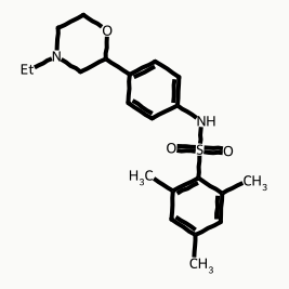 CCN1CCOC(c2ccc(NS(=O)(=O)c3c(C)cc(C)cc3C)cc2)C1